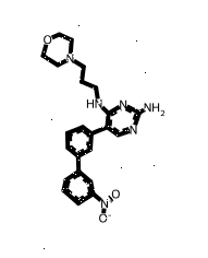 Nc1ncc(-c2cccc(-c3cccc([N+](=O)[O-])c3)c2)c(NCCCN2CCOCC2)n1